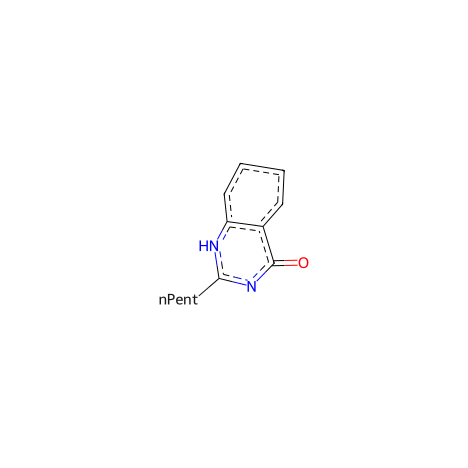 CCCCCc1nc(=O)c2ccccc2[nH]1